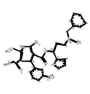 COC(=O)C1=C(C)NC(C)=C(C(=O)OC(CCN(C)Cc2ccccc2)c2cccs2)C1c1cccc([N+](=O)[O-])c1